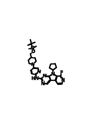 CC(C)(C)[Si](C)(C)OCC1CCN(c2ccc(Nc3ncc4c5ccnc(F)c5n(C5CCCC5)c4n3)nc2)CC1